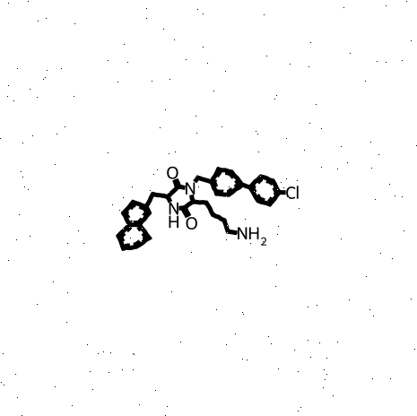 NCCCCC1C(=O)NC(Cc2ccc3ccccc3c2)C(=O)N1Cc1ccc(-c2ccc(Cl)cc2)cc1